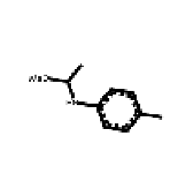 COC(C)Nc1ccc(C)cc1